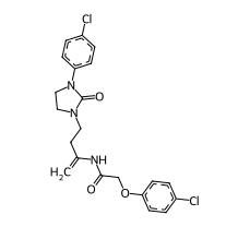 C=C(CCN1CCN(c2ccc(Cl)cc2)C1=O)NC(=O)COc1ccc(Cl)cc1